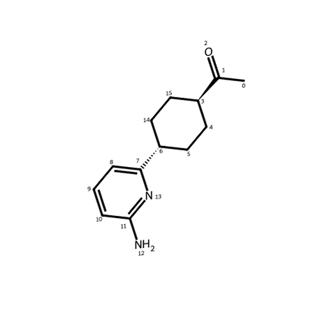 CC(=O)[C@H]1CC[C@H](c2cccc(N)n2)CC1